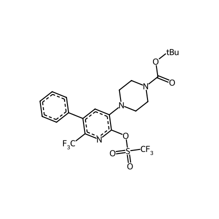 CC(C)(C)OC(=O)N1CCN(c2cc(-c3ccccc3)c(C(F)(F)F)nc2OS(=O)(=O)C(F)(F)F)CC1